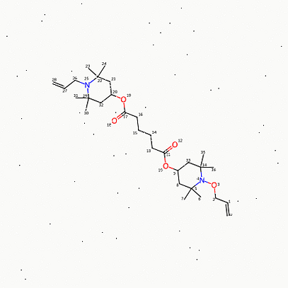 C=CCON1C(C)(C)CC(OC(=O)CCCCC(=O)OC2CC(C)(C)N(CC=C)C(C)(C)C2)CC1(C)C